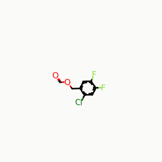 O=COCc1cc(F)c(F)cc1Cl